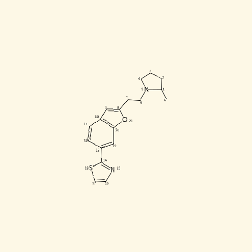 CC1CCCN1CCc1cc2ccc(-c3nccs3)cc2o1